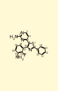 Nc1nccc(-c2sc(-c3ccccc3)nc2-c2cccc(N)c2F)n1